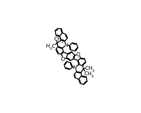 CC1(C)c2ccc3oc4cc5c(cc4c3c2N(c2ccccc2)c2ccc3ccccc3c21)oc1ccc2c(c15)N(c1ccccc1)c1ccc3ccccc3c1C2(C)C